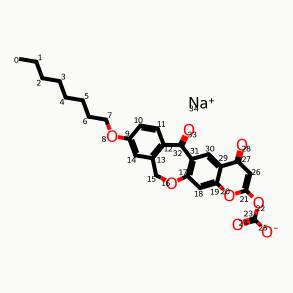 CCCCCCCCOc1ccc2c(c1)COc1cc3oc(OC(=O)[O-])cc(=O)c3cc1C2=O.[Na+]